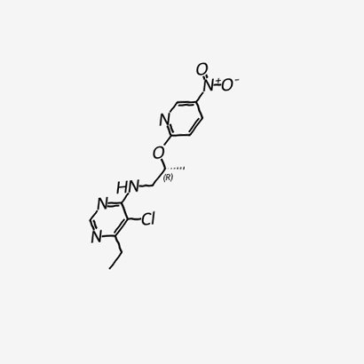 CCc1ncnc(NC[C@@H](C)Oc2ccc([N+](=O)[O-])cn2)c1Cl